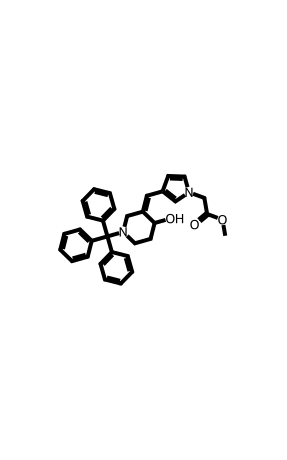 COC(=O)Cn1ccc(C=C2CN(C(c3ccccc3)(c3ccccc3)c3ccccc3)CCC2O)c1